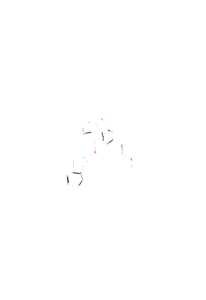 CCCCCc1cc(OC(=O)NCc2ccccc2)c2c(c1)OC(C)(C)C1CCC(C)=CC21